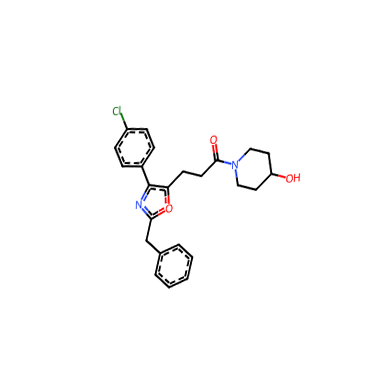 O=C(CCc1oc(Cc2ccccc2)nc1-c1ccc(Cl)cc1)N1CCC(O)CC1